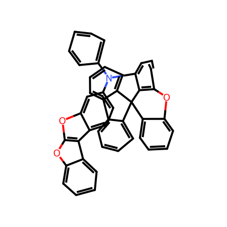 c1ccc(N(c2ccc3c(c2)oc2oc4ccccc4c23)c2cccc3c2C2(c4ccccc4O3)c3ccccc3-c3ccccc32)cc1